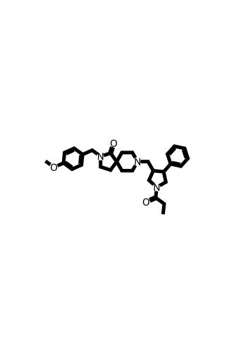 CCC(=O)N1CC(CN2CCC3(CC2)CCN(Cc2ccc(OC)cc2)C3=O)C(c2ccccc2)C1